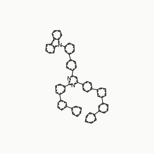 c1ccc(-c2cccc(-c3cccc(-c4ccc(-c5cc(-c6ccc(-c7cccc(-n8c9ccccc9c9ccccc98)c7)cc6)nc(-c6cccc(-c7cccc(-c8ccccc8)c7)c6)n5)cc4)c3)c2)cc1